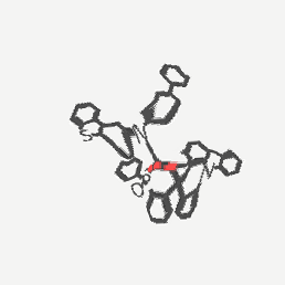 O=P1(c2ccccc2)c2ccccc2C2(c3ccccc3-n3c4ccccc4c4cccc2c43)c2ccc(N(c3ccc(-c4ccccc4)cc3)c3ccc4sc5ccccc5c4c3)cc21